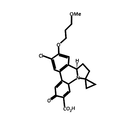 COCCCOc1cc2c(cc1Cl)C1=CC(=O)C(C(=O)O)=CC1N1[C@@H]2CCC12CC2